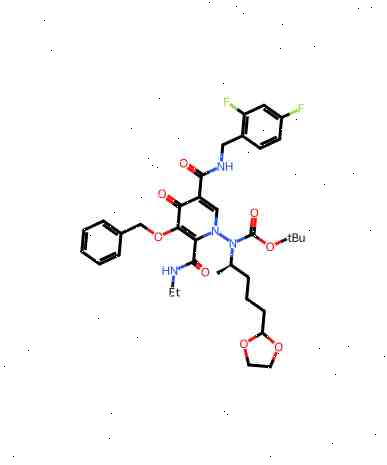 CCNC(=O)c1c(OCc2ccccc2)c(=O)c(C(=O)NCc2ccc(F)cc2F)cn1N(C(=O)OC(C)(C)C)[C@H](C)CCCC1OCCO1